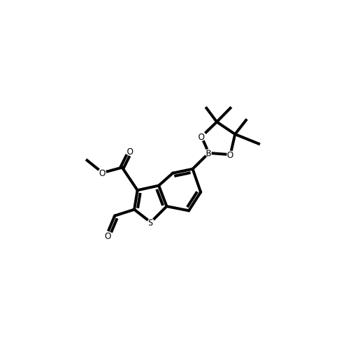 COC(=O)c1c(C=O)sc2ccc(B3OC(C)(C)C(C)(C)O3)cc12